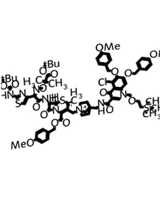 COc1ccc(COC(=O)C2=C(C[N+]34CCC(CNC(=O)c5cn(COCC[Si](C)(C)C)c6cc(OCc7ccc(OC)cc7)c(OCc7ccc(OC)cc7)c(Cl)c6c5=O)(CC3)C4)[C@H](C)S[C@@H]3[C@H](NC(=O)C(=NOC(C)(C)C(=O)OC(C)(C)C)c4csc(NC(=O)OC(C)(C)C)n4)C(=O)N23)cc1